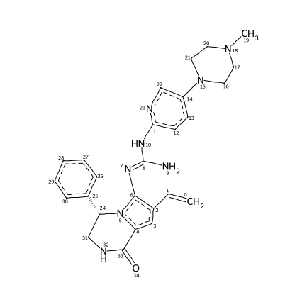 C=Cc1cc2n(c1/N=C(\N)Nc1ccc(N3CCN(C)CC3)cn1)[C@@H](c1ccccc1)CNC2=O